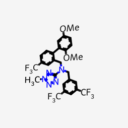 COc1ccc(OC)c(-c2ccc(C(F)(F)F)cc2CN(Cc2cc(C(F)(F)F)cc(C(F)(F)F)c2)c2nnn(C)n2)c1